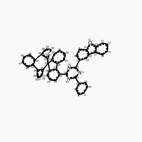 c1ccc(-c2nc(-c3ccc4oc5ccccc5c4c3)nc(-c3cccc4c3-c3ccccc3C43c4ccccc4-c4ccccc4-c4ccccc43)n2)cc1